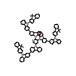 CC1(C)c2ccccc2-c2ccc(-n3c4ccccc4c4ccc(-c5ccc6c(c5)c5ccccc5n6-c5cc(-n6c7ccccc7c7cc(-c8ccc9c%10ccccc%10n(-c%10ccc%11c(c%10)C(C)(C)c%10ccccc%10-%11)c9c8)ccc76)c(-n6c7ccccc7c7cc(-c8ccc9c%10ccccc%10n(-c%10ccc%11c(c%10)C(C)(C)c%10ccccc%10-%11)c9c8)ccc76)nn5)cc43)cc21